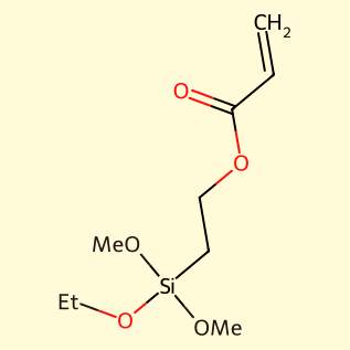 C=CC(=O)OCC[Si](OC)(OC)OCC